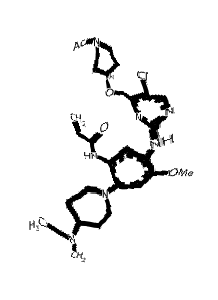 C=CC(=O)Nc1cc(Nc2ncc(Cl)c(O[C@@H]3CCN(C(C)=O)C3)n2)c(OC)cc1N1CCC(N(C)C)CC1